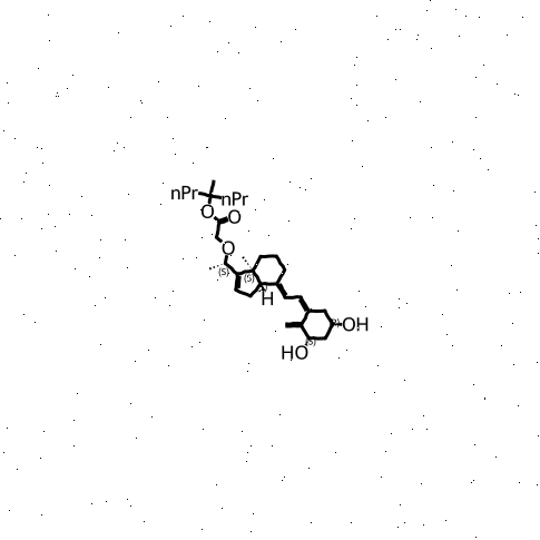 C=C1C(=CC=C2CCC[C@]3(C)C([C@H](C)OCC(=O)OC(C)(CCC)CCC)=CC[C@@H]23)C[C@@H](O)C[C@@H]1O